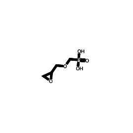 O=P(O)(O)COCC1CO1